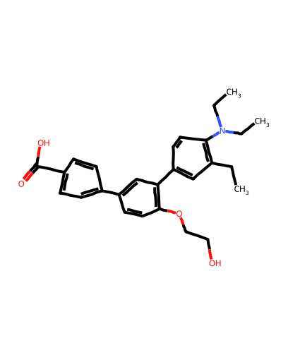 CCc1cc(-c2cc(-c3ccc(C(=O)O)cc3)ccc2OCCO)ccc1N(CC)CC